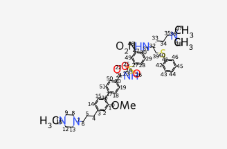 COc1cc(CCCN2CCN(C)CC2)ccc1-c1ccc(C(=O)NS(=O)(=O)c2ccc(N[C@H](CCCN(C)C)CSc3ccccc3)c([N+](=O)[O-])c2)cc1